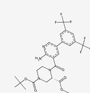 COC(=O)[C@@H]1CN(C(=O)OC(C)(C)C)CCN1C(=O)c1cc(-c2cc(C(F)(F)F)cc(C(F)(F)F)c2)cnc1N